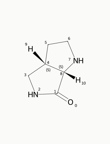 O=C1NC[C@@H]2CCN[C@H]12